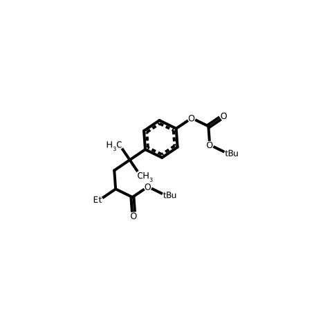 CCC(CC(C)(C)c1ccc(OC(=O)OC(C)(C)C)cc1)C(=O)OC(C)(C)C